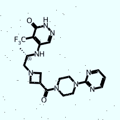 C[C@@H](CN1CC(C(=O)N2CCN(c3ncccn3)CC2)C1)Nc1cn[nH]c(=O)c1C(F)(F)F